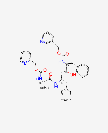 CC[C@H](C)[C@H](NC(=O)OCc1ccccn1)C(=O)N[C@@H](Cc1ccccc1)C[C@H](O)[C@H](Cc1ccccc1)NC(=O)OCc1cccnc1